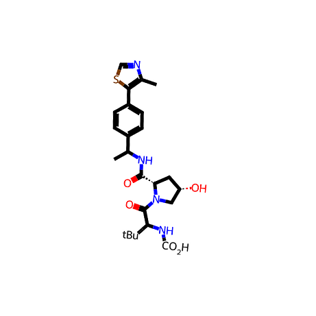 Cc1ncsc1-c1ccc(C(C)NC(=O)[C@@H]2C[C@H](O)CN2C(=O)C(NC(=O)O)C(C)(C)C)cc1